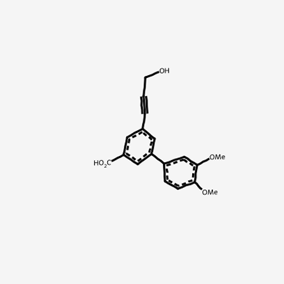 COc1ccc(-c2cc(C#CCO)cc(C(=O)O)c2)cc1OC